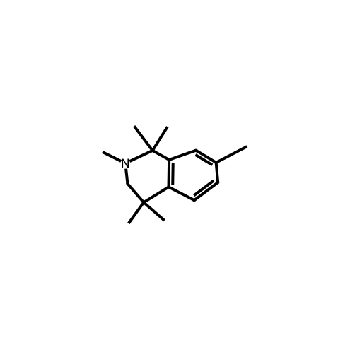 Cc1ccc2c(c1)C(C)(C)N(C)CC2(C)C